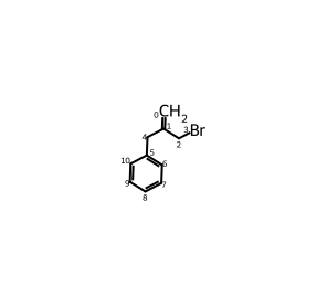 C=C(CBr)Cc1ccccc1